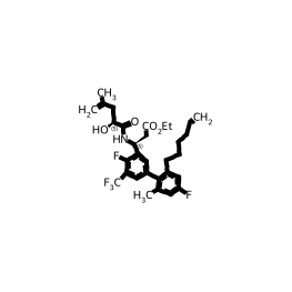 C=CCCCCc1cc(F)cc(C)c1-c1cc([C@H](CC(=O)OCC)NC(=O)[C@@H](O)CC(=C)C)c(F)c(C(F)(F)F)c1